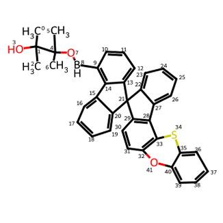 CC(C)(O)C(C)(C)OBc1cccc2c1-c1ccccc1C21c2ccccc2-c2c1ccc1c2Sc2ccccc2O1